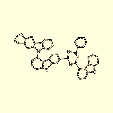 c1ccc(-c2nc(-c3ccc4c(c3)sc3cccc(-n5c6ccccc6c6cc7ccccc7cc65)c34)nc(-c3cccc4oc5ccccc5c34)n2)cc1